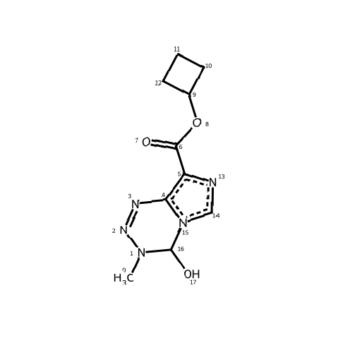 CN1N=Nc2c(C(=O)OC3CCC3)ncn2C1O